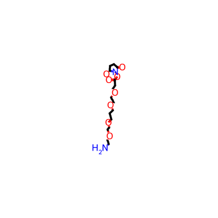 NCCOCCOCCCOCCOCCC(=O)ON1C(=O)CCC1=O